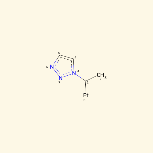 [CH2]CC(C)n1ccnn1